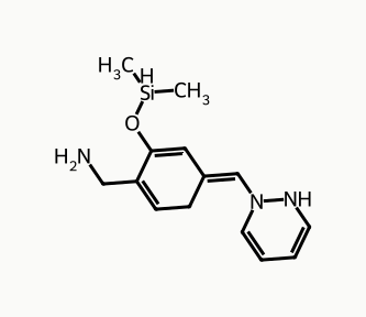 C[SiH](C)OC1=CC(=CN2C=CC=CN2)CC=C1CN